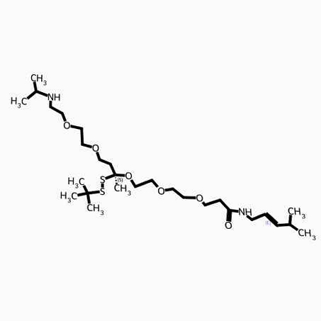 CC(C)/C=C/CNC(=O)CCOCCOCCO[C@](C)(CCOCCOCCNC(C)C)SSC(C)(C)C